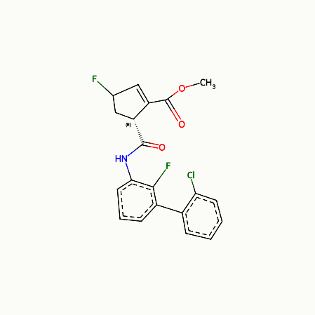 COC(=O)C1=CC(F)C[C@H]1C(=O)Nc1cccc(-c2ccccc2Cl)c1F